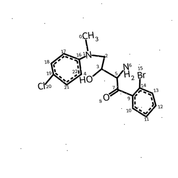 CN(CC(O)C(N)C(=O)c1ccccc1Br)c1ccc(Cl)cc1